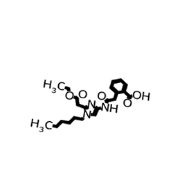 CCCCCCn1cc(NC(=O)Cc2ccccc2C(=O)O)nc1CC(=O)OCC